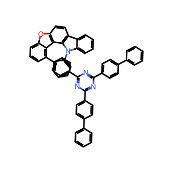 c1ccc(-c2ccc(-c3nc(-c4ccc(-c5ccccc5)cc4)nc(-c4ccc(-c5cccc6oc7ccc8c9ccccc9n(-c9ccccc9)c8c7c56)cc4)n3)cc2)cc1